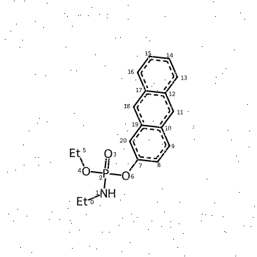 CCNP(=O)(OCC)Oc1ccc2cc3ccccc3cc2c1